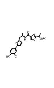 CC(=O)OC(C)c1nc(C(=O)NC(C)Cn2ccc(-c3ccc(C#N)c(Cl)c3)n2)cs1